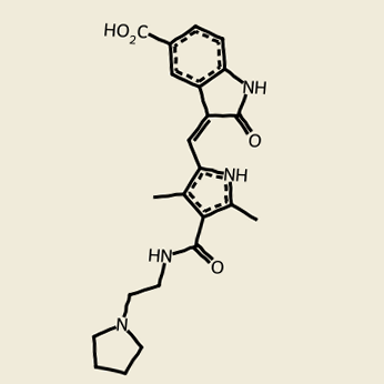 Cc1[nH]c(C=C2C(=O)Nc3ccc(C(=O)O)cc32)c(C)c1C(=O)NCCN1CCCC1